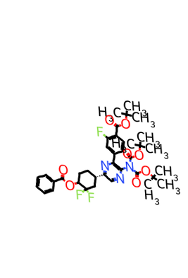 CC(C)(C)OC(=O)c1ccc(-c2nc([C@H]3CCC(OC(=O)c4ccccc4)C(F)(F)C3)cnc2N(C(=O)OC(C)(C)C)C(=O)OC(C)(C)C)cc1F